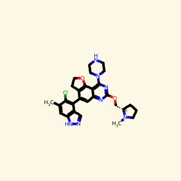 Cc1cc2[nH]ncc2c(-c2cc3nc(OC[C@@H]4CCCN4C)nc(N4CCNCC4)c3c3c2CCO3)c1Cl